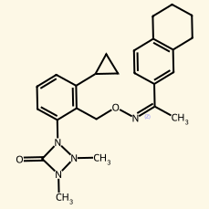 C/C(=N/OCc1c(C2CC2)cccc1-n1c(=O)n(C)n1C)c1ccc2c(c1)CCCC2